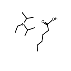 CCCCCC(=O)O.CCN(C(C)C)C(C)C